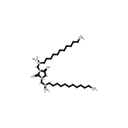 CCCCCCCCCCCCN(C)CN1CC(=O)N(CN(C)CCCCCCCCCCCC)C1=O